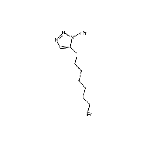 CCCn1nncc1CCCCCCCC(C)C